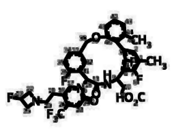 Cc1cc2c(F)c(c1F)C(CC(=O)O)NC(=O)C(n1cc(CCN3CC(F)C3)c(C(F)(F)F)cc1=O)c1cc(ccc1F)COc1cccc(C)c1-2